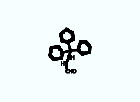 O=CNNC(c1ccccc1)(c1ccccc1)c1ccccc1